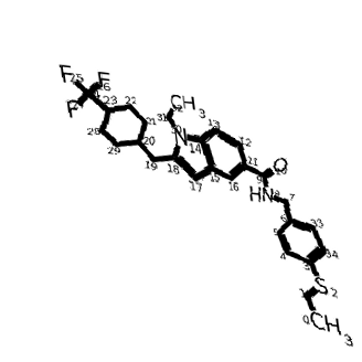 CCSc1ccc(CNC(=O)c2ccc3c(c2)cc(CC2CCC(C(F)(F)F)CC2)n3CC)cc1